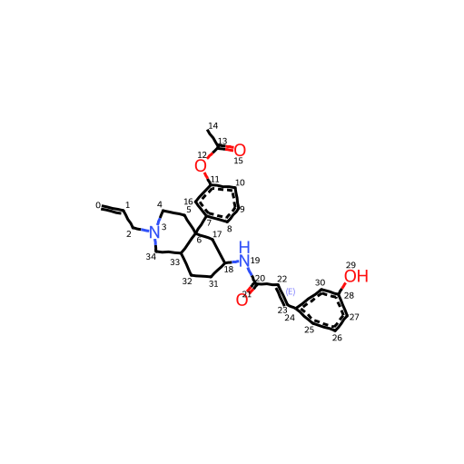 C=CCN1CCC2(c3cccc(OC(C)=O)c3)CC(NC(=O)/C=C/c3cccc(O)c3)CCC2C1